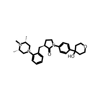 C[C@@H]1CN(c2ccccc2C[C@H]2CCN(c3ccc(C4(O)CCOCC4)cc3)C2=O)C[C@H](C)N1C